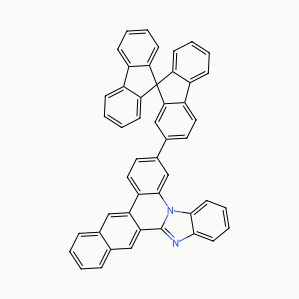 c1ccc2c(c1)-c1ccccc1C21c2ccccc2-c2ccc(-c3ccc4c5cc6ccccc6cc5c5nc6ccccc6n5c4c3)cc21